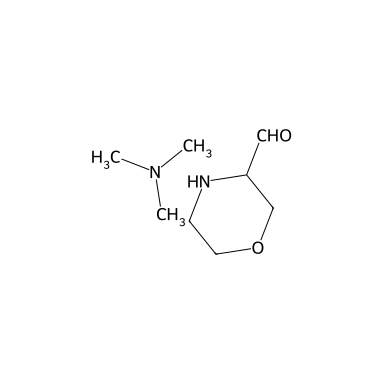 CN(C)C.O=CC1COCCN1